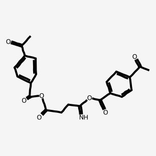 CC(=O)c1ccc(C(=O)OC(=N)CCC(=O)OC(=O)c2ccc(C(C)=O)cc2)cc1